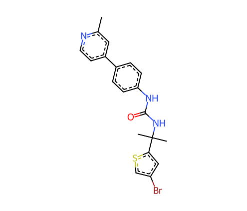 Cc1cc(-c2ccc(NC(=O)NC(C)(C)c3cc(Br)cs3)cc2)ccn1